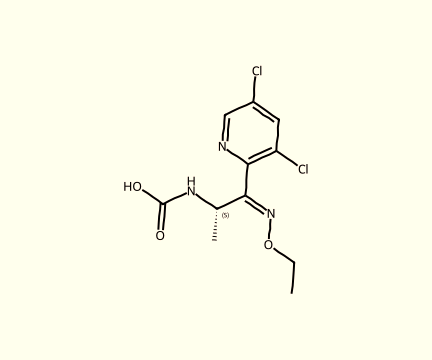 CCON=C(c1ncc(Cl)cc1Cl)[C@H](C)NC(=O)O